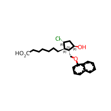 O=C(O)CCCCCC[C@@H]1[C@@H](COc2cccc3ccccc23)[C@H](O)C[C@H]1Cl